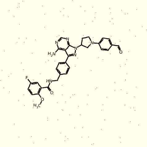 COc1ccc(F)cc1C(=O)NCc1ccc(-c2nn(C3CCN(c4ccc(C=O)cc4)C3)c3ncnc(N)c23)cc1